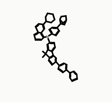 CC1(C)c2ccc(-c3ccc(-c4ccccc4)cc3)cc2-c2ccc(N(c3ccc(C4CC5CCC4C5)cc3)c3cccc4ccc(C5CCCCC5)cc34)cc21